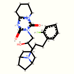 O=c1nc2n(c(=O)n1CC(O)CN1C3CCC1CC(CCc1ccccc1F)C3)CCCC2